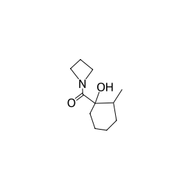 CC1CCCCC1(O)C(=O)N1CCC1